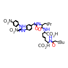 CC(C)CC(NC(=O)Cc1ccc(N/C(=C/[N+](=O)[O-])Nc2ccc([N+](=O)[O-])cc2)cc1)C(=O)NC(C/C=C/CC(NC(=O)CC(C)(C)C)C(=O)O)C(=O)O